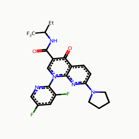 CCC(NC(=O)c1cn(-c2ncc(F)cc2F)c2nc(N3CCCC3)ccc2c1=O)C(F)(F)F